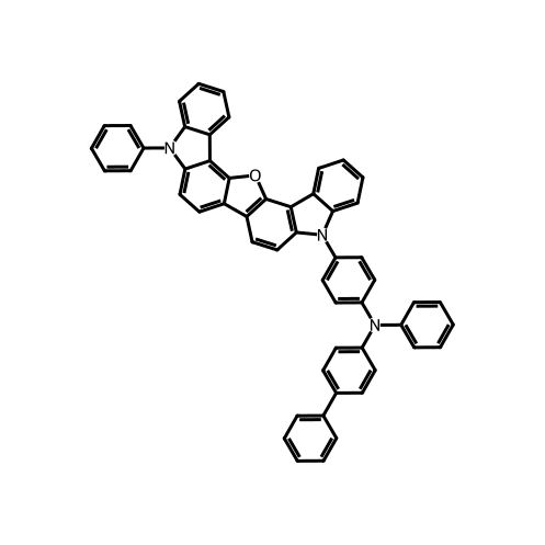 c1ccc(-c2ccc(N(c3ccccc3)c3ccc(-n4c5ccccc5c5c6oc7c(ccc8c7c7ccccc7n8-c7ccccc7)c6ccc54)cc3)cc2)cc1